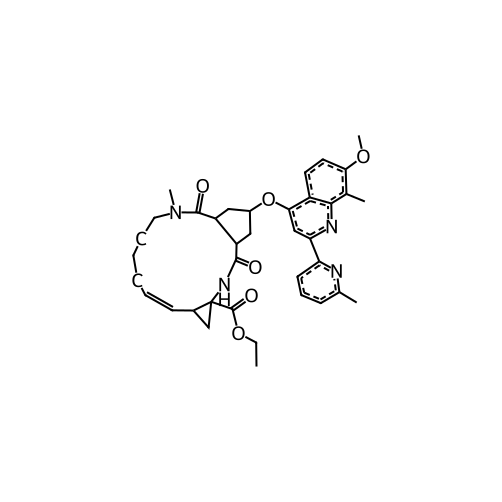 CCOC(=O)C12CC1/C=C\CCCCN(C)C(=O)C1CC(Oc3cc(-c4cccc(C)n4)nc4c(C)c(OC)ccc34)CC1C(=O)N2